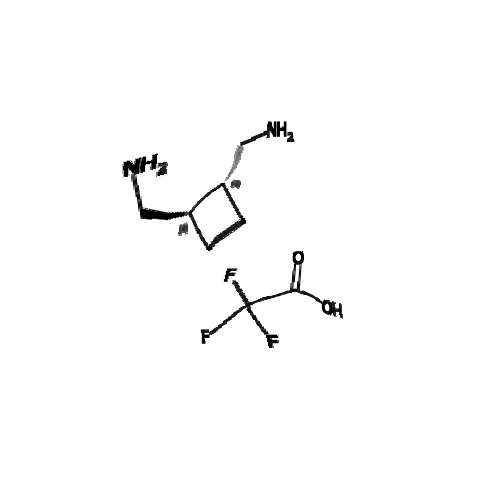 NC[C@@H]1CC[C@H]1CN.O=C(O)C(F)(F)F